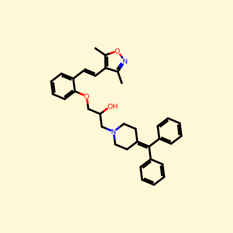 Cc1noc(C)c1/C=C/c1ccccc1OCC(O)CN1CCC(=C(c2ccccc2)c2ccccc2)CC1